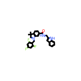 CC1(C)CN(Cc2c(F)cc(F)cc2F)c2cc(C(=O)NCc3cc4ccccc4[nH]3)ccc21